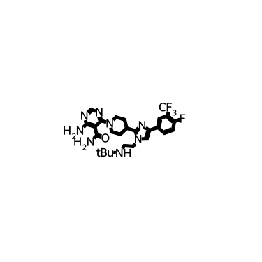 CC(C)(C)NCCn1cc(-c2ccc(F)c(C(F)(F)F)c2)nc1C1CCN(c2ncnc(N)c2C(N)=O)CC1